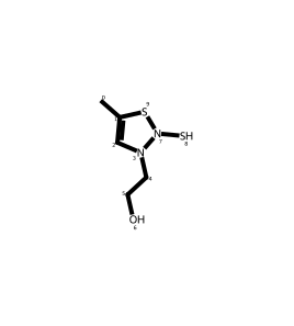 CC1=CN(CCO)N(S)S1